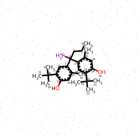 CCCC(P)(c1cc(C(C)(C)C)c(O)cc1C)c1cc(C(C)(C)C)c(O)cc1C